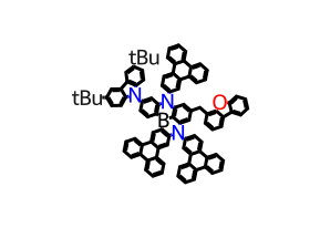 CC(C)(C)c1ccc2c(c1)c1cc(C(C)(C)C)ccc1n2-c1ccc2c(c1)N(c1ccc3c4ccccc4c4ccccc4c3c1)c1cc(Cc3cccc4c3oc3ccccc34)cc3c1B2c1cc2c4ccccc4c4ccccc4c2cc1N3c1ccc2c3ccccc3c3ccccc3c2c1